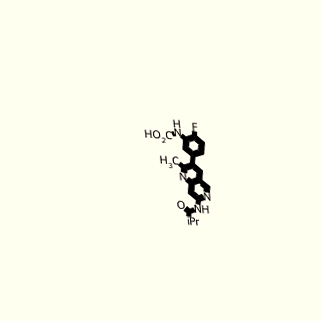 Cc1nc2cc(NC(=O)C(C)C)ncc2cc1-c1ccc(F)c(NC(=O)O)c1